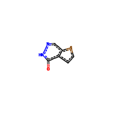 O=c1[nH]ncc2sccc12